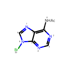 CC(=O)Nc1ncnc2c1ncn2Br